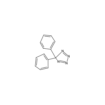 c1ccc(C2(c3ccccc3)N=NN=N2)cc1